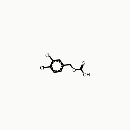 OC(=S)OCc1ccc(Cl)c(Cl)c1